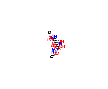 CC1c2ccc(C(O)NC(=O)OCc3ccccc3)cc2C(=O)C2=C(O)C3(O)C(=O)C(C(=O)NCNC(=O)OCc4ccccc4)=C(O)C(N(C)C)C3C(O)C21